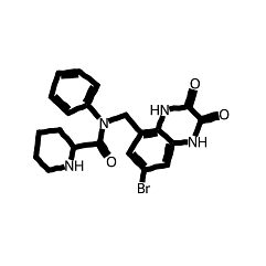 O=C(C1CCCCN1)N(Cc1cc(Br)cc2[nH]c(=O)c(=O)[nH]c12)c1ccccc1